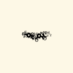 C[C@H]1OCc2c1c(N)nc1ccc(C(=O)N3CC[C@](O)(c4ccc(C(F)(F)F)cc4)C3)cc21